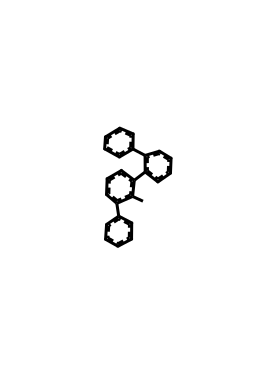 Cc1c(-c2ccccc2)cccc1-c1ccccc1-c1ccccc1